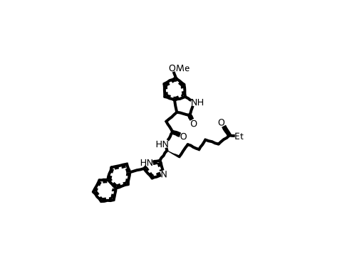 CCC(=O)CCCCC[C@H](NC(=O)CC1C(=O)Nc2cc(OC)ccc21)c1ncc(-c2ccc3ccccc3c2)[nH]1